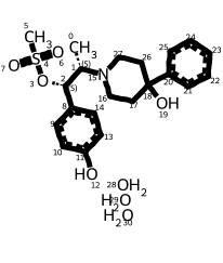 C[C@@H]([C@@H](OS(C)(=O)=O)c1ccc(O)cc1)N1CCC(O)(c2ccccc2)CC1.O.O.O